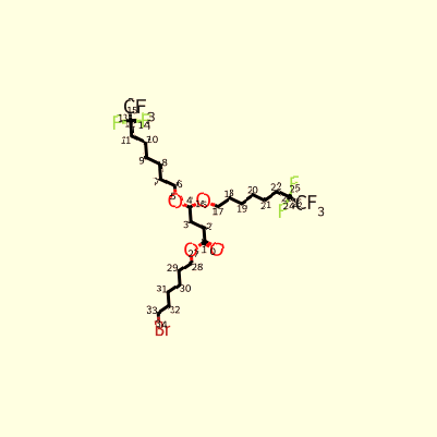 O=C(CCC(OCCCCCCC(F)(F)C(F)(F)F)OCCCCCCC(F)(F)C(F)(F)F)OCCCCCCBr